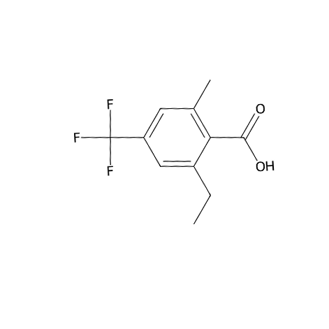 CCc1cc(C(F)(F)F)cc(C)c1C(=O)O